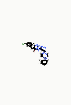 Cc1nc2[nH]c(CN3CCN(c4ccccc4)CC3)nn2c(=O)c1Cc1cccc(Cl)c1